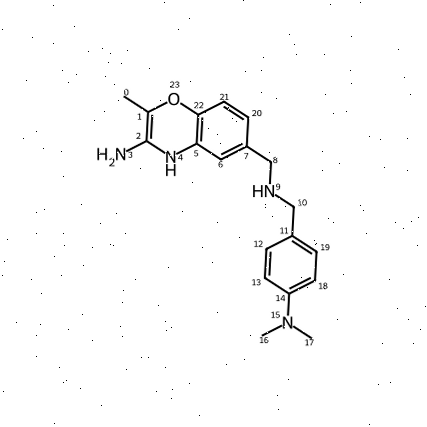 CC1=C(N)Nc2cc(CNCc3ccc(N(C)C)cc3)ccc2O1